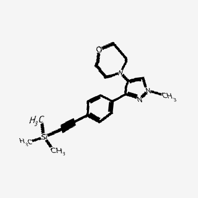 Cn1cc(N2CCOCC2)c(-c2ccc(C#C[Si](C)(C)C)cc2)n1